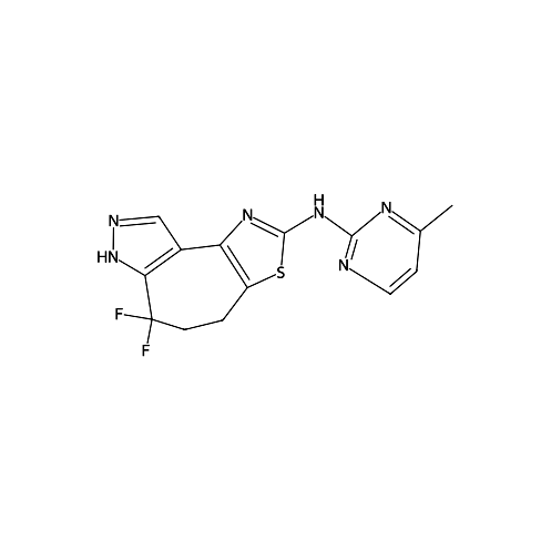 Cc1ccnc(Nc2nc3c(s2)CCC(F)(F)c2[nH]ncc2-3)n1